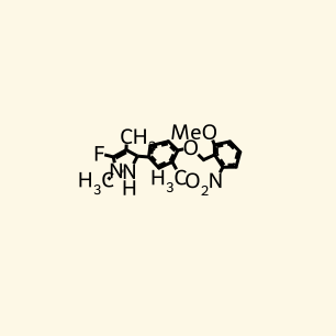 COc1cccc([N+](=O)[O-])c1COc1ccc(C2NN(C)C(F)=C2C)cc1C